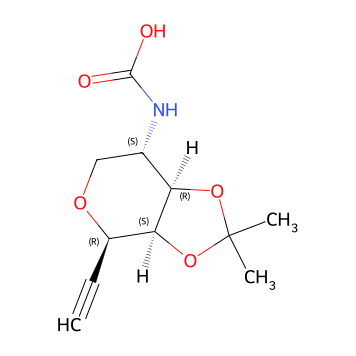 C#C[C@H]1OC[C@H](NC(=O)O)[C@H]2OC(C)(C)O[C@H]21